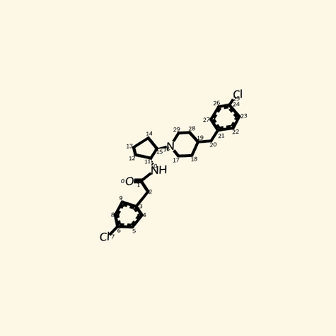 O=C(Cc1ccc(Cl)cc1)N[C@@H]1CCC[C@H]1N1CCC(Cc2ccc(Cl)cc2)CC1